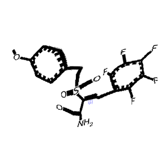 COc1ccc(CS(=O)(=O)/C(=C\c2c(F)c(F)c(F)c(F)c2F)C(N)=O)cc1